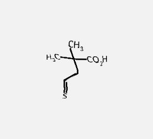 CC(C)(CC=S)C(=O)O